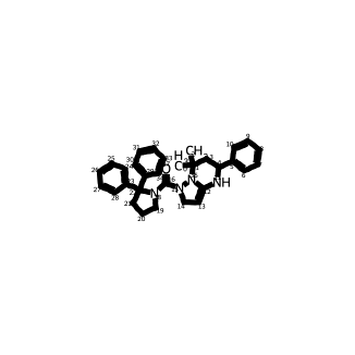 CC1(C)CC(c2ccccc2)NC2=CCN(C(=O)N3CCCC3(c3ccccc3)c3ccccc3)N21